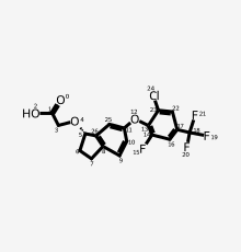 O=C(O)CO[C@H]1CCc2ccc(Oc3c(F)cc(C(F)(F)F)cc3Cl)cc21